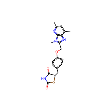 Cc1cc(C)c2nc(COc3ccc(CC4SC(=O)NC4=O)cc3)n(C)c2n1